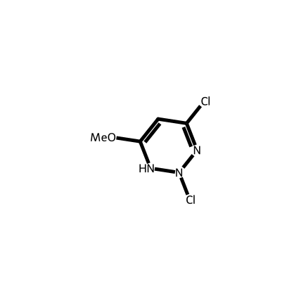 COC1=CC(Cl)=NN(Cl)N1